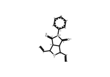 C=CC1OC(C=C)C2C(=O)N(c3ccccc3)C(=O)C12